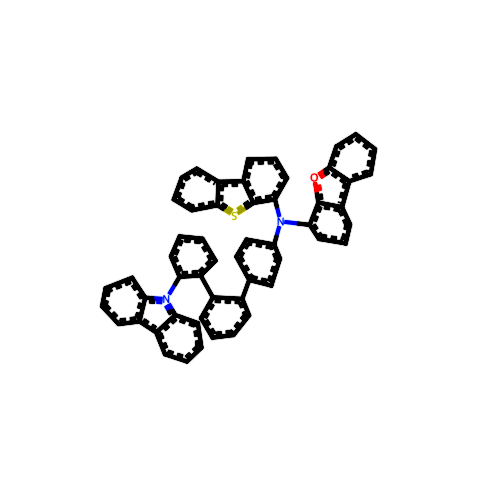 c1ccc(-c2ccccc2-n2c3ccccc3c3ccccc32)c(-c2ccc(N(c3cccc4c3oc3ccccc34)c3cccc4c3sc3ccccc34)cc2)c1